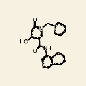 O=C(Nc1cccc2ccccc12)c1cn(Cc2ccccc2)c(=O)cc1O